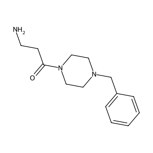 NCCC(=O)N1CCN(Cc2ccccc2)CC1